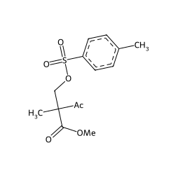 COC(=O)C(C)(COS(=O)(=O)c1ccc(C)cc1)C(C)=O